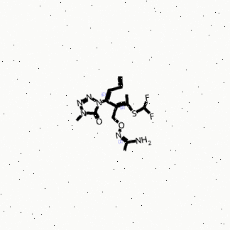 C=C/C=C(\C(CO/N=C(/C)N)=C(/C)SC(F)F)n1nnn(C)c1=O